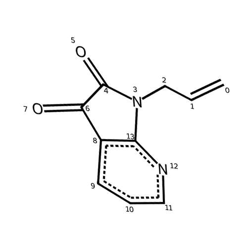 C=CCN1C(=O)C(=O)c2cccnc21